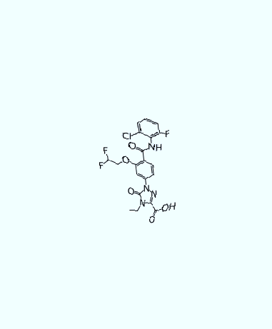 CCn1c(C(=O)O)nn(-c2ccc(C(=O)Nc3c(F)cccc3Cl)c(OCC(F)F)c2)c1=O